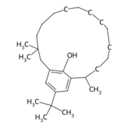 CC1CCCCCCCCCCCC(C)(C)Cc2cc(C(C)(C)C)cc1c2O